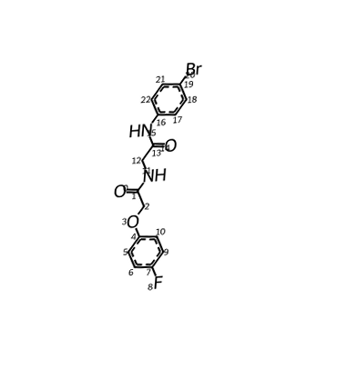 O=C(COc1ccc(F)cc1)NCC(=O)Nc1ccc(Br)cc1